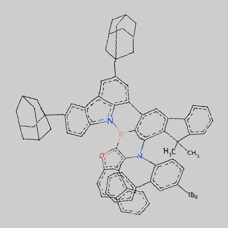 CC(C)(C)c1ccc(N2c3c4c(cc5c3C(C)(C)c3ccccc3-5)-c3cc(C56CC7CC(CC(C7)C5)C6)cc5c6cc(C78CC9CC(CC(C9)C7)C8)ccc6n(c35)B4c3oc4ccc5ccccc5c4c32)c(-c2ccccc2)c1